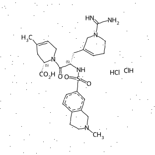 CC1=CCN(C(=O)[C@H](CC2=CCCN(C(=N)N)C2)NS(=O)(=O)c2ccc3c(c2)CN(C)CC3)[C@H](C(=O)O)C1.Cl.Cl